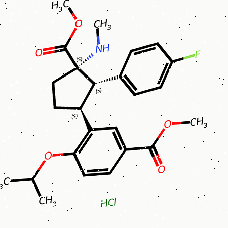 CN[C@@]1(C(=O)OC)CC[C@H](c2cc(C(=O)OC)ccc2OC(C)C)[C@H]1c1ccc(F)cc1.Cl